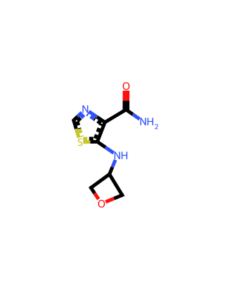 NC(=O)c1ncsc1NC1COC1